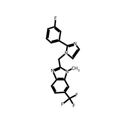 Cn1c(Cn2ccnc2-c2cccc(F)c2)nc2ccc(C(F)(F)F)cc21